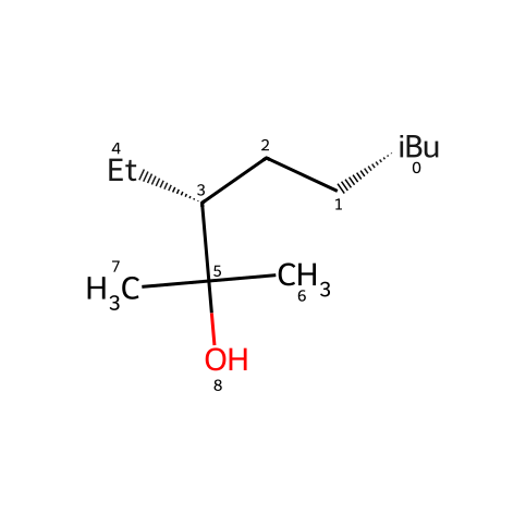 CC[C@@H](C)CC[C@@H](CC)C(C)(C)O